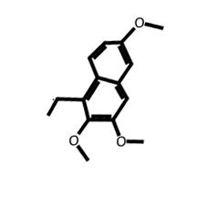 C[CH]c1c(OC)c(OC)cc2cc(OC)ccc12